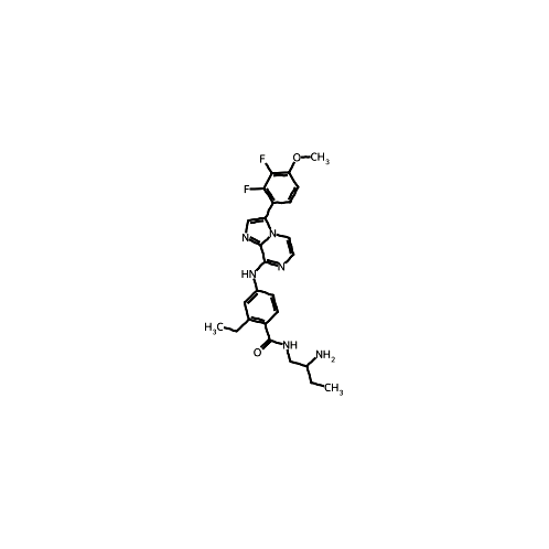 CCc1cc(Nc2nccn3c(-c4ccc(OC)c(F)c4F)cnc23)ccc1C(=O)NCC(N)CC